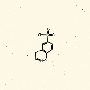 O=S(=O)(Cl)c1ccc2c(c1)CC=NS2